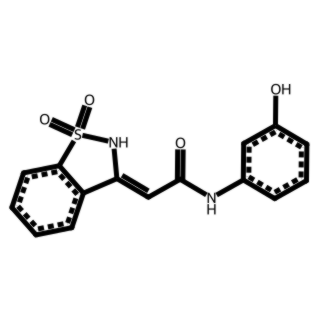 O=C(C=C1NS(=O)(=O)c2ccccc21)Nc1cccc(O)c1